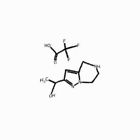 CC(O)c1cc2n(n1)CCNC2.O=C(O)C(F)(F)F